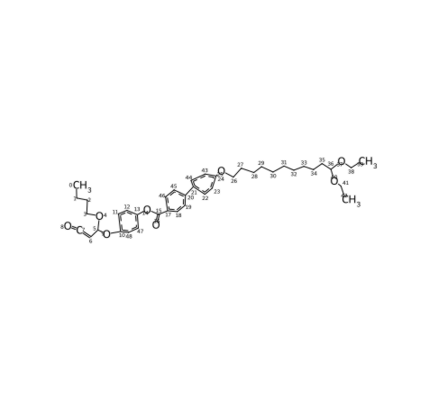 CCCCOC(C=C=O)Oc1ccc(OC(=O)c2ccc(-c3ccc(OCCCCCCCCCCC(OCC)OCC)cc3)cc2)cc1